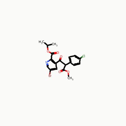 COC(=O)C(C(=O)c1cc(Br)cnc1C(=O)OC(C)C)c1ccc(Cl)cc1